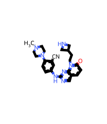 CN1CCN(c2ccc(Nc3ncc4ccc(=O)n(CCC5CNC5)c4n3)cc2C#N)CC1